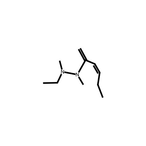 C=C(/C=C\CC)N(C)N(C)CC